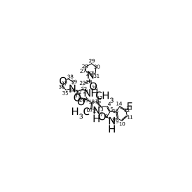 Cc1[nH]c(/C=C2\C(=O)Nc3ccc(F)cc32)c(C)c1C(=O)N[C@@H](CC(=O)N1CCCCC1)C(=O)N1CCOCC1